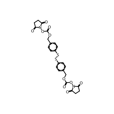 O=C(OCc1ccc(SSc2ccc(COC(=O)ON3C(=O)CCC3=O)cc2)cc1)ON1C(=O)CCC1=O